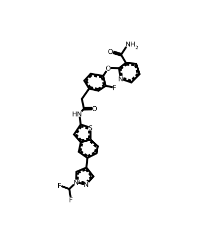 NC(=O)c1cccnc1Oc1ccc(CC(=O)Nc2cc3cc(-c4cnn(C(F)F)c4)ccc3s2)cc1F